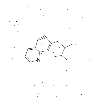 CC(C)C(C)Cc1ccc2cccnc2c1